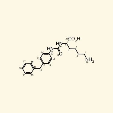 NCCCC[C@H](NC(=O)Nc1ccc(Cc2ccccc2)cc1)C(=O)O